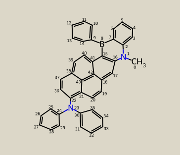 CN1c2ccccc2B(c2ccccc2)c2c1cc1ccc3c(N(c4ccccc4)c4ccccc4)ccc4ccc2c1c43